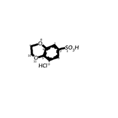 Cl.O=S(=O)(O)c1ccc2c(c1)OCCO2